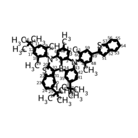 Cc1cc2c3c(c1)N(c1c(C)cc(C(C)(C)C)cc1C)c1sc4ccc(C(C)(C)C)cc4c1B3c1cc(C(C)(C)C)ccc1N2c1c(C)cc(-c2cc3ccccc3s2)cc1C